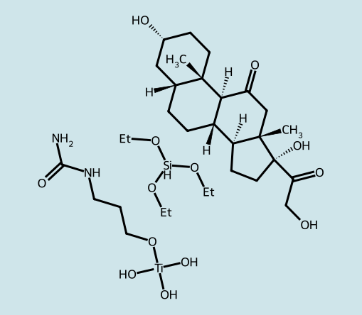 CCO[SiH](OCC)OCC.C[C@]12CC[C@@H](O)C[C@H]1CC[C@@H]1[C@@H]2C(=O)C[C@@]2(C)[C@H]1CC[C@]2(O)C(=O)CO.NC(=O)NCCC[O][Ti]([OH])([OH])[OH]